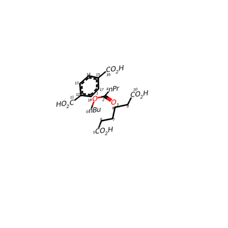 CCCCOC(=O)CCC.O=C(O)CCCCC(=O)O.O=C(O)c1ccc(C(=O)O)cc1